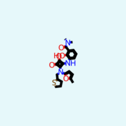 Cc1ccc(N(CC2CCCS2)c2c(Nc3cccc(C(=O)N(C)C)c3O)c(=O)c2=O)o1